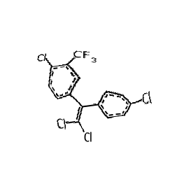 FC(F)(F)c1cc(C(=C(Cl)Cl)c2ccc(Cl)cc2)ccc1Cl